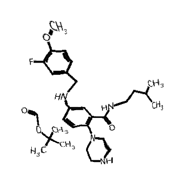 CC(C)(C)OC=O.COc1ccc(CNc2ccc(N3CCNCC3)c(C(=O)NCCC(C)C)c2)cc1F